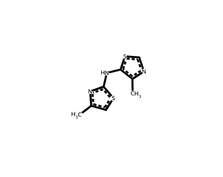 Cc1csc(Nc2s[c]nc2C)n1